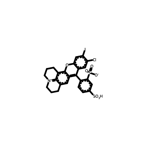 O=S(=O)([O-])c1cc(S(=O)(=O)O)ccc1C1=c2cc3c4c(c2Oc2cc(I)c(Cl)cc21)CCC[N+]=4CCC3